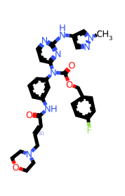 Cn1cc(Nc2nccc(N(C(=O)OCc3ccc(F)cc3)c3cccc(NC(=O)/C=C/CN4CCOCC4)c3)n2)cn1